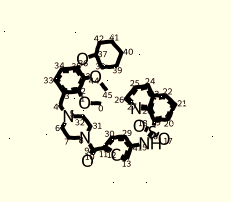 COc1c(CN2CCN(C(=O)c3ccc(NS(=O)(=O)c4cccc5cccnc45)cc3)CC2)ccc(OC2CCCCC2)c1OC